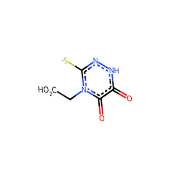 O=C(O)Cn1c([S])n[nH]c(=O)c1=O